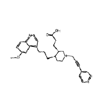 COc1ccc2nccc(CCC[C@@H]3CCN(CC#Cc4ccnnc4)C[C@@H]3CCC(=O)O)c2c1